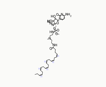 CC/C=C\C/C=C\C/C=C\C/C=C\C/C=C\C/C=C\CCC(=O)NCCN(C)CCNP(=O)(OC)OC[C@@]1(N=[N+]=[N-])O[C@@H](n2ccc(N)nc2=O)[C@H](O)[C@@H]1O